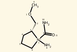 COC[C@H]1CCC[N+]1(N)C(N)=O